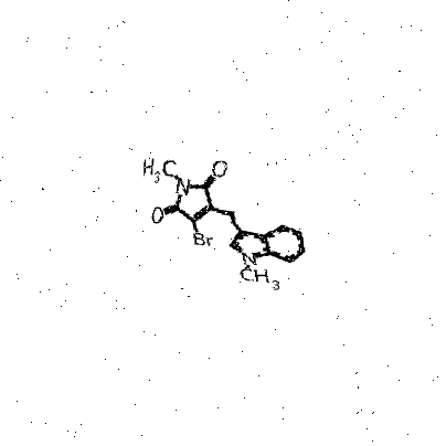 CN1C(=O)C(Br)=C(Cc2cn(C)c3ccccc23)C1=O